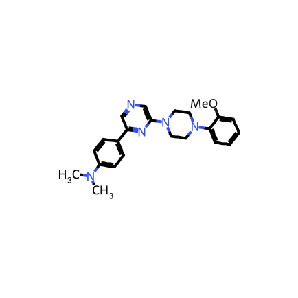 COc1ccccc1N1CCN(c2cncc(-c3ccc(N(C)C)cc3)n2)CC1